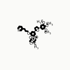 CCCOc1c(OCCCc2cccnc2)cc([C@H]2CC[C@H](c3cc(OC)c(OC)c(OC)c3)O2)cc1S(=O)(=O)CC(C)=O